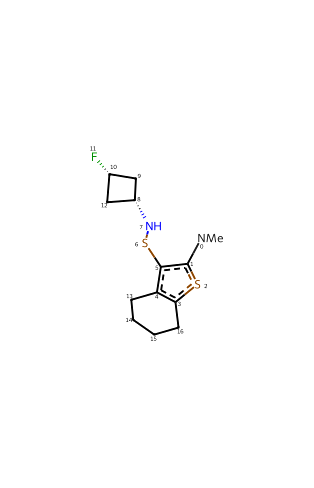 CNc1sc2c(c1SN[C@H]1C[C@@H](F)C1)CCCC2